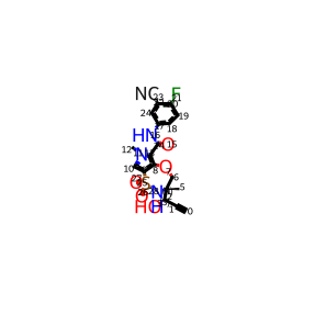 C#C[C@H](O)[C@@]1(C)COc2c(cn(C)c2C(=O)Nc2ccc(F)c(C#N)c2)S(=O)(=O)N1